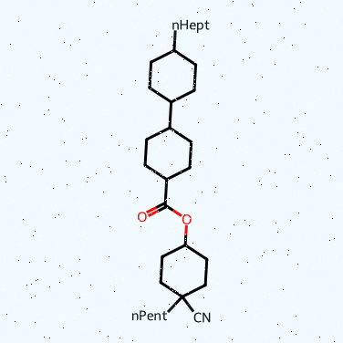 CCCCCCCC1CCC(C2CCC(C(=O)OC3CCC(C#N)(CCCCC)CC3)CC2)CC1